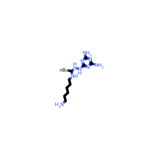 CCCCC(NCCCCCCN)NNc1nc(N)nc(N)n1